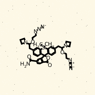 C[Si]1(C)c2cc(CC(OCCN=[N+]=[N-])N3CCC3)ccc2C2(OC(=O)c3ccc(C(N)=O)cc32)c2ccc(CC(OCCN=[N+]=[N-])N3CCC3)cc21